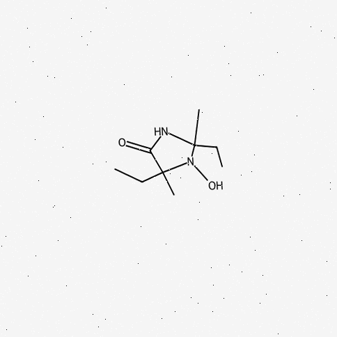 CCC1(C)NC(=O)C(C)(CC)N1O